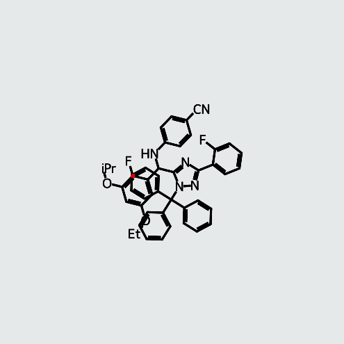 CCOc1cc(OC(C)C)c(F)c(C(Nc2ccc(C#N)cc2)c2nc(-c3ccccc3F)nn2C(c2ccccc2)(c2ccccc2)c2ccccc2)c1